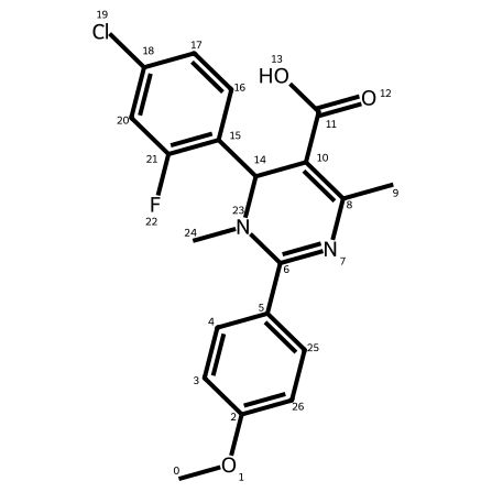 COc1ccc(C2=NC(C)=C(C(=O)O)C(c3ccc(Cl)cc3F)N2C)cc1